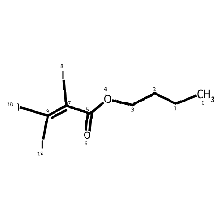 CCCCOC(=O)C(I)=C(I)I